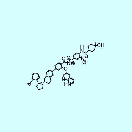 CC1(O)CCC(CNc2ccc(S(=O)(=O)NC(=O)c3ccc(-c4ccc5c(c4)CCC(N4CCC[C@H]4c4ccccc4C4CC4)C5)cc3Oc3cnc4[nH]ccc4c3)cc2[N+](=O)[O-])CC1